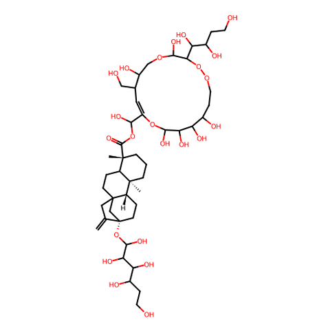 C=C1CC23CCC4[C@](C)(C(=O)OC(O)/C5=C/C(CO)C(O)COC(O)C(C(O)C(O)CCO)OOCCC(O)C(O)C(O)C(O)O5)CCC[C@@]4(C)[C@@H]2CC[C@]1(OC(O)C(O)C(O)C(O)CCO)C3